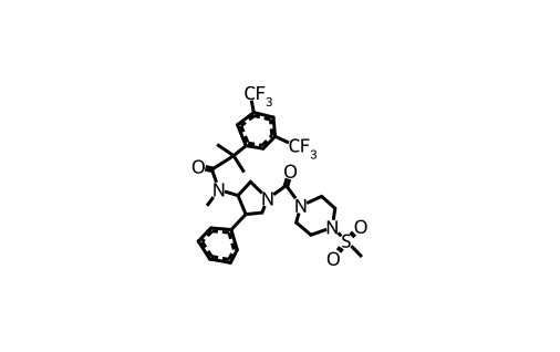 CN(C(=O)C(C)(C)c1cc(C(F)(F)F)cc(C(F)(F)F)c1)C1CN(C(=O)N2CCN(S(C)(=O)=O)CC2)CC1c1ccccc1